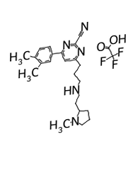 Cc1ccc(-c2cc(CCCNCCC3CCCN3C)nc(C#N)n2)cc1C.O=C(O)C(F)(F)F